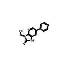 CCn1c(=S)[nH]c2cc(-c3ccncc3)cnc21